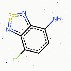 Nc1ccc(F)c2nsnc12